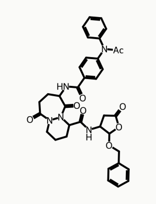 CC(=O)N(c1ccccc1)c1ccc(C(=O)NC2CCC(=O)N3CCCC(C(=O)NC4CC(=O)OC4OCc4ccccc4)N3C2=O)cc1